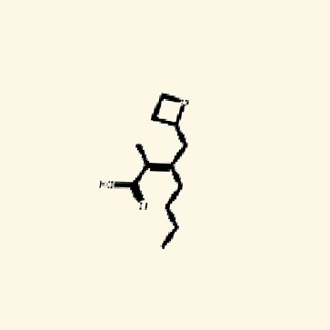 CCCCC(CC1CCO1)=C(C)C(=O)O